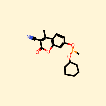 Cc1c(C#N)c(=O)oc2cc(OP(C)OC3CCCCC3)ccc12